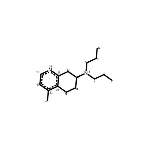 CCCN(CCC)C1CCc2c(C)ccnc2C1